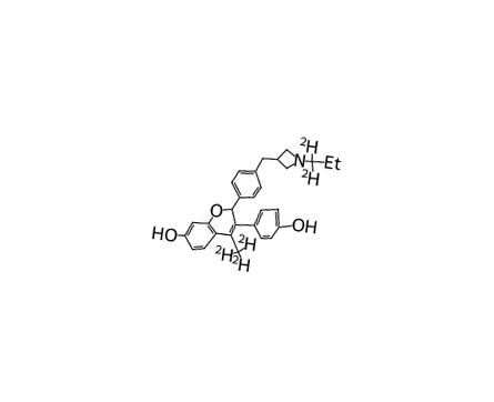 [2H]C([2H])([2H])C1=C(c2ccc(O)cc2)C(c2ccc(CC3CN(C([2H])([2H])CC)C3)cc2)Oc2cc(O)ccc21